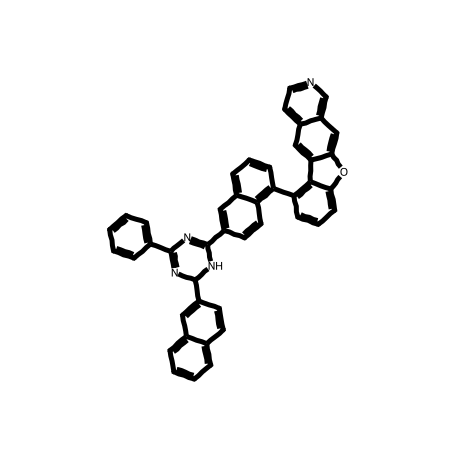 c1ccc(C2=NC(c3ccc4ccccc4c3)NC(c3ccc4c(-c5cccc6oc7cc8cnccc8cc7c56)cccc4c3)=N2)cc1